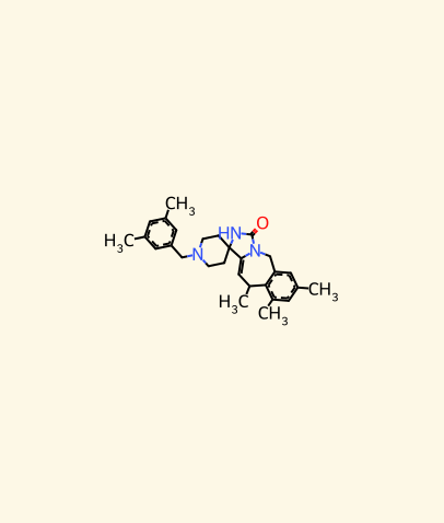 Cc1cc(C)cc(CN2CCC3(CC2)NC(=O)N2Cc4cc(C)cc(C)c4C(C)C=C23)c1